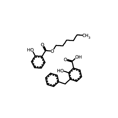 CCCCCCOC(=O)c1ccccc1O.O=C(O)c1cccc(Cc2ccccc2)c1O